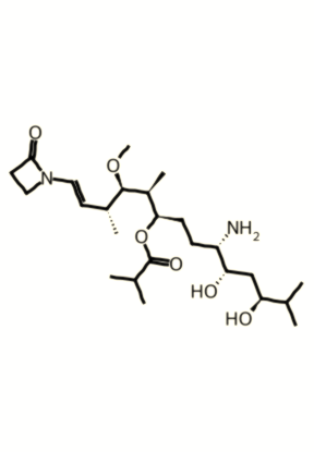 CO[C@@H]([C@@H](C)[C@@H](CC[C@H](N)[C@@H](O)C[C@H](O)C(C)C)OC(=O)C(C)C)[C@H](C)/C=C/N1CCC1=O